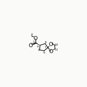 COC(=O)[C@@H]1CCC2(C1)OCCO2